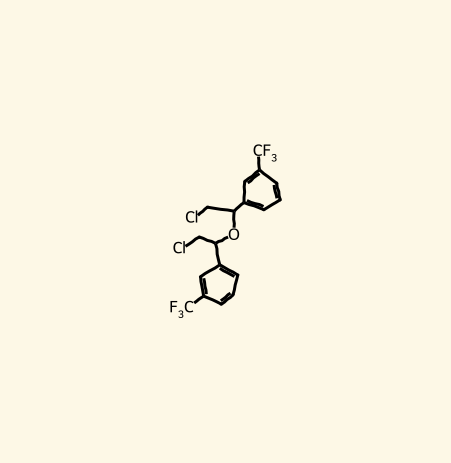 FC(F)(F)c1cccc(C(CCl)OC(CCl)c2cccc(C(F)(F)F)c2)c1